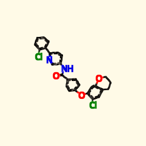 O=C(Nc1ccc(-c2ccccc2Cl)nc1)c1ccc(Oc2cc3c(cc2Cl)CCCO3)cc1